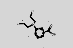 O=C(O)c1cccc(N(CCCl)CCCl)c1